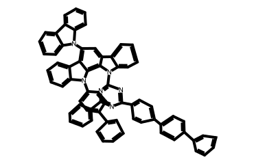 c1ccc(-c2ccc(-c3ccc(-c4nc(-c5ccccc5)nc(-n5c6ccccc6c6cc(-n7c8ccccc8c8ccccc87)c7c8ccccc8n(-c8ccc(-c9ccccc9)cc8)c7c65)n4)cc3)cc2)cc1